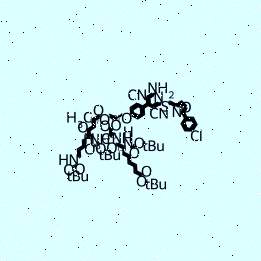 [C-]#[N+]c1c(N)nc(SCc2coc(-c3ccc(Cl)cc3)n2)c(C#N)c1-c1ccc(OC[C@H](COC(=O)[C@H](C)CC(=O)[C@H](CCCCNC(=O)OC(C)(C)C)NC(=O)OC(C)(C)C)OC(=O)[C@H](C)NC(=O)[C@H](CCCCCC(=O)OC(C)(C)C)NC(=O)OC(C)(C)C)cc1